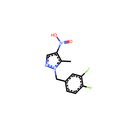 Cc1c([N+](=O)O)cnn1Cc1ccc(F)c(F)c1